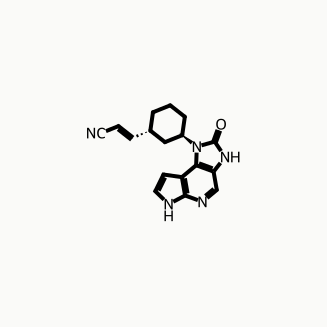 N#C/C=C/[C@@H]1CCC[C@@H](n2c(=O)[nH]c3cnc4[nH]ccc4c32)C1